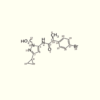 C[C@H](C(=O)Nc1cc(C2CC2)nn1C(=O)O)c1ccc(Br)cc1